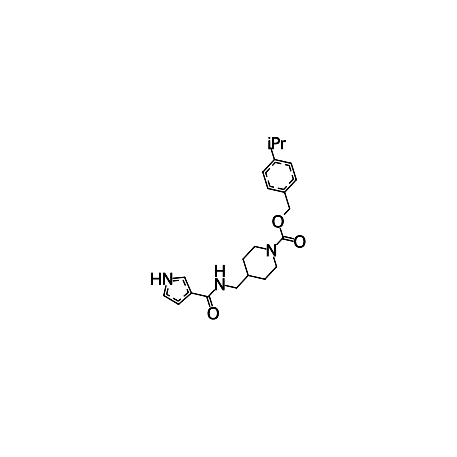 CC(C)c1ccc(COC(=O)N2CCC(CNC(=O)c3cc[nH]c3)CC2)cc1